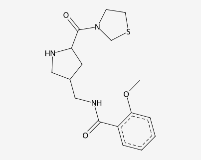 COc1ccccc1C(=O)NCC1CNC(C(=O)N2CCSC2)C1